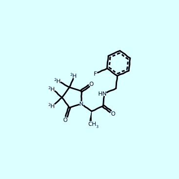 [2H]C1([2H])C(=O)N([C@H](C)C(=O)NCc2ccccc2F)C(=O)C1([2H])[2H]